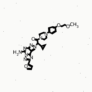 COCCOc1ccc(N2CCN(C(=O)C(C3CC3)n3cc4c(nc(N)n5nc(-c6ccco6)nc45)n3)CC2)cc1